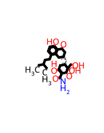 CCC(CC)CCc1ccc(O)c2c1C[C@@H](C[C@H]1CC(O)=C(C(N)=O)C(=O)[C@@]1(O)CO)CC2=O